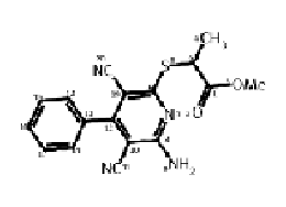 COC(=O)C(C)Sc1nc(N)c(C#N)c(-c2ccccc2)c1C#N